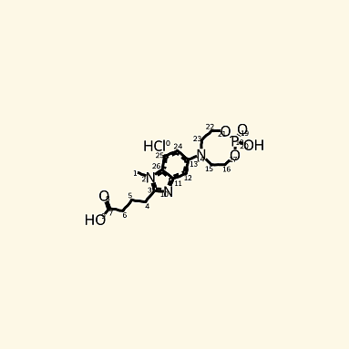 Cl.Cn1c(CCCC(=O)O)nc2cc(N3CCOP(=O)(O)OCC3)ccc21